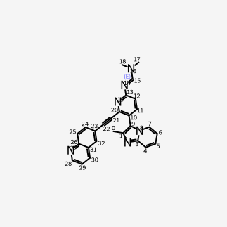 Cc1nc2ccccn2c1-c1ccc(/N=C/N(C)C)nc1C#Cc1ccc2ncccc2c1